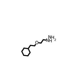 NNCCOCCC1CCCCC1